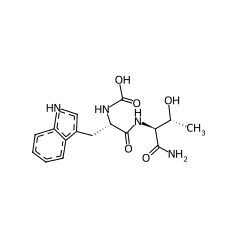 C[C@@H](O)[C@H](NC(=O)[C@H](Cc1c[nH]c2ccccc12)NC(=O)O)C(N)=O